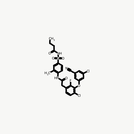 CCCC(=O)NS(=O)(=O)c1ccc(NC(=O)Cc2ccc(Cl)c(Oc3cc(Cl)cc(C#N)c3)c2F)c(C)c1